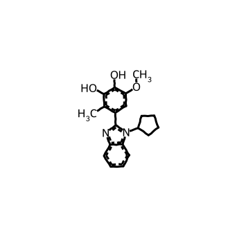 COc1cc(-c2nc3ccccc3n2C2CCCC2)c(C)c(O)c1O